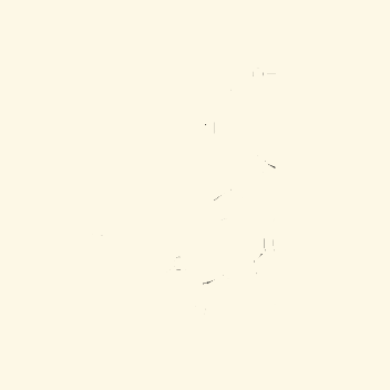 CC1(C)CC[C@]2(C(=O)OCc3ccccc3)CC[C@]3(C)C(=CCC4[C@@]5(C)CCC(O)C(C)(C)[C@@H]5CC[C@]43C)[C@@H]2C1